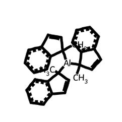 C[C]1([Al]([C]2(C)C=Cc3ccccc32)[C]2(C)C=Cc3ccccc32)C=Cc2ccccc21